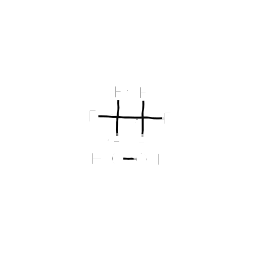 CO.FC(F)(F)C(F)(F)F